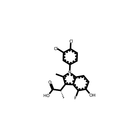 Cc1c([C@H](C)C(=O)O)c2c(F)c(O)ccc2n1-c1ccc(Cl)c(Cl)c1